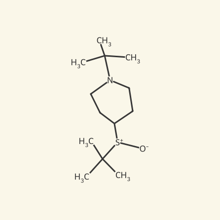 CC(C)(C)N1CCC([S+]([O-])C(C)(C)C)CC1